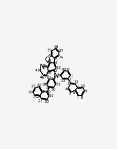 c1cc(-c2ccc3ccccc3c2)cc(N(c2ccc(-c3cccc4ccccc34)cc2)c2cc3c4ccccc4oc3c3ncccc23)c1